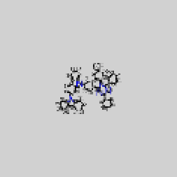 FC(F)(F)c1cccc(-c2cc(-n3c4ccccc4c4ccc(-n5c6ccccc6c6ccccc65)cc43)ccc2-c2nc(-c3ccccc3)nc(-c3ccccc3)n2)c1